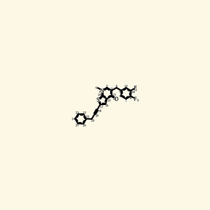 Cn1cc(Cc2ccc(F)c(F)c2)c(=O)c2cc(C#CCc3ccccc3)sc21